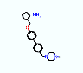 CN1CCN(Cc2ccc(-c3ccc(OC[C@H]4CCC[C@@H]4N)cc3)cc2)CC1